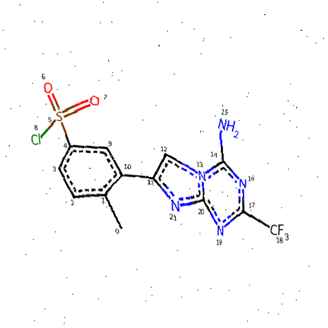 Cc1ccc(S(=O)(=O)Cl)cc1-c1cn2c(N)nc(C(F)(F)F)nc2n1